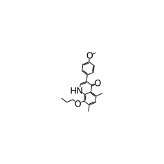 CCCOc1c(C)cc(C)c2c(=O)c(-c3ccc(OC)cc3)c[nH]c12